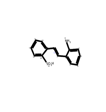 Nc1ccccc1/C=C/c1ccccc1S(=O)(=O)O